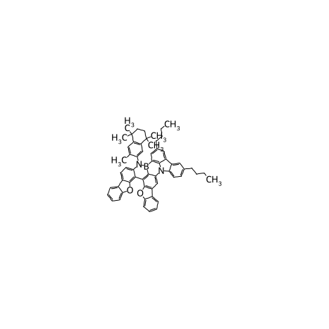 CCCCc1ccc2c(c1)c1cc(CCCC)cc3c1n2-c1cc2c(oc4ccccc42)c2c1B3N(c1cc3c(cc1C)C(C)(C)CCC3(C)C)c1ccc3c(oc4ccccc43)c1-2